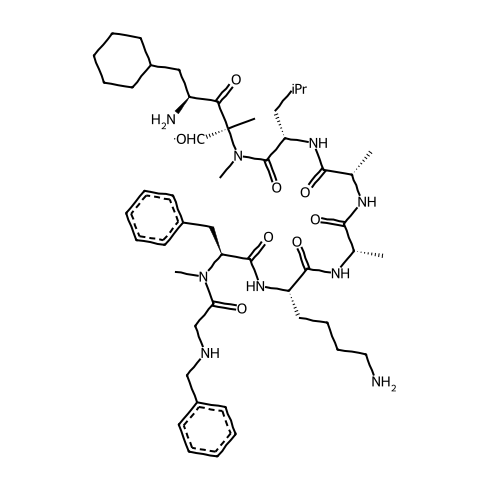 CC(C)C[C@H](NC(=O)[C@H](C)NC(=O)[C@H](C)NC(=O)[C@H](CCCCN)NC(=O)[C@H](Cc1ccccc1)N(C)C(=O)CNCc1ccccc1)C(=O)N(C)[C@@](C)([C]=O)C(=O)[C@@H](N)CC1CCCCC1